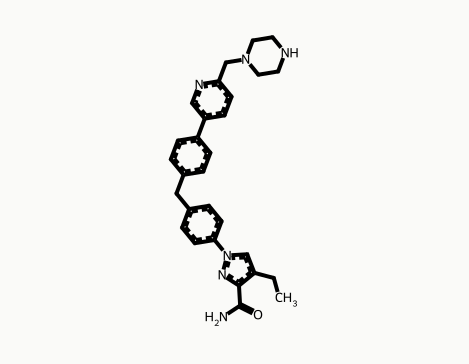 CCc1cn(-c2ccc(Cc3ccc(-c4ccc(CN5CCNCC5)nc4)cc3)cc2)nc1C(N)=O